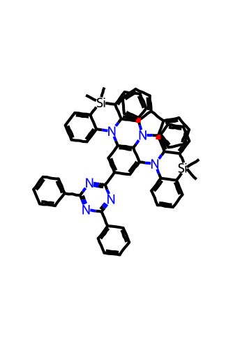 C[Si]1(C)c2ccccc2N(c2cc(-c3nc(-c4ccccc4)nc(-c4ccccc4)n3)cc(N3c4ccccc4[Si](C)(C)c4ccccc43)c2-n2c3ccccc3c3ccccc32)c2ccccc21